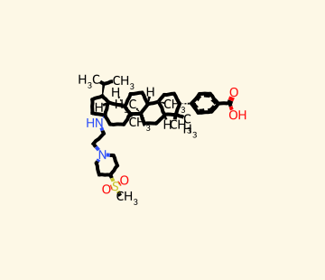 CC(C)[C@@H]1CC[C@]2(NCCN3CCC(S(C)(=O)=O)CC3)CC[C@]3(C)[C@H](CC[C@@H]4[C@@]5(C)CC[C@H](c6ccc(C(=O)O)cc6)C(C)(C)[C@@H]5CC[C@]43C)[C@@H]12